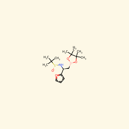 CC(C)(C)[S@@+]([O-])N[C@@H](CB1OC(C)(C)C(C)(C)O1)c1ccco1